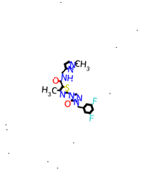 Cc1nc(-n2cnn(Cc3cc(F)cc(F)c3)c2=O)sc1C(=O)NCc1ccn(C)n1